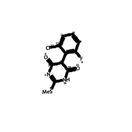 CSC1=NC(=O)C(c2c(F)cccc2Cl)C(=O)N1